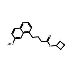 COc1ccc2cccc(CCCC(=O)NC3CCC3)c2c1